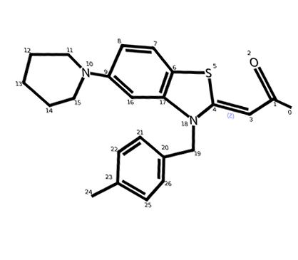 CC(=O)/C=C1\Sc2ccc(N3CCCCC3)cc2N1Cc1ccc(C)cc1